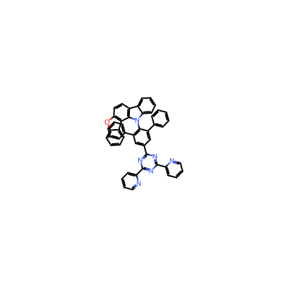 c1ccc(-c2cc(-c3nc(-c4ccccn4)nc(-c4ccccn4)n3)cc(-c3ccccc3)c2-n2c3ccccc3c3ccc4oc5ccccc5c4c32)cc1